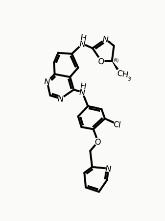 C[C@@H]1CN=C(Nc2ccc3ncnc(Nc4ccc(OCc5ccccn5)c(Cl)c4)c3c2)O1